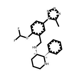 Cc1nnnn1-c1ccc(OC(F)F)c(CN[C@H]2CCCN[C@H]2c2ccccc2)c1